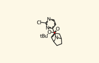 CC(C)(C)OC(=O)N1C2C=C(c3ccnc(Cl)n3)CC1CC2